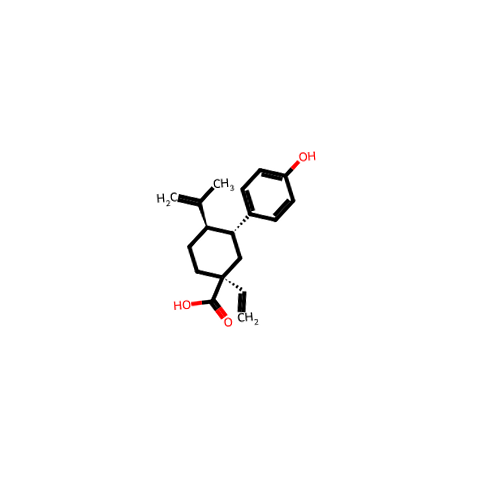 C=C[C@]1(C(=O)O)CC[C@@H](C(=C)C)[C@H](c2ccc(O)cc2)C1